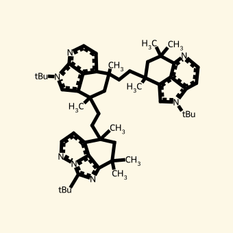 CC(C)(C)c1nc2c3c(ccnn13)C(C)(CCC1(C)CC(C)(CCC3(C)CC(C)(C)c4nccc5c4c3cn5C(C)(C)C)c3ccnc4c3c1cn4C(C)(C)C)CC2(C)C